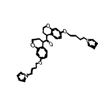 O=C(C1CCOc2cc(OCCCCn3cccc3)ccc21)C1CCOc2cc(OCCCCn3cccc3)ccc21